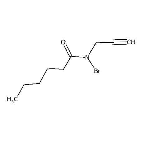 C#CCN(Br)C(=O)CCCCC